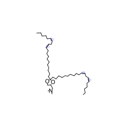 CCCCC/C=C\C/C=C\CCCCCCCCCCC1(CCCCCCCCCC/C=C\C/C=C\CCCCC)OCC(CN(C)C)O1